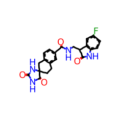 O=C1NC(=O)C2(CCc3cc(C(=O)NCC4C(=O)Nc5ccc(F)cc54)ccc3C2)N1